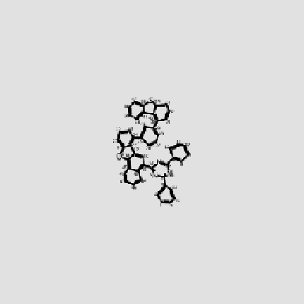 c1ccc(-c2nc(-c3ccccc3)nc(-c3cc4c(oc5cccc(-c6cccc(-c7cccc8sc9ccccc9c78)c6)c54)c4ccccc34)n2)cc1